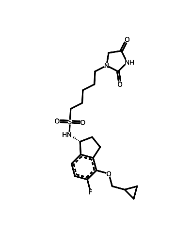 O=C1CN(CCCCCS(=O)(=O)N[C@@H]2CCc3c2ccc(F)c3OCC2CC2)C(=O)N1